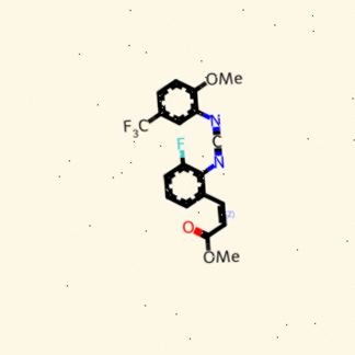 COC(=O)/C=C\c1cccc(F)c1N=C=Nc1cc(C(F)(F)F)ccc1OC